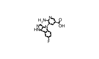 Nc1ncc(C(=O)O)cc1-n1c2ccc(F)cc2c2[nH]ncc21